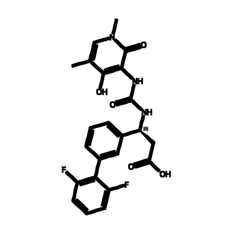 Cc1cn(C)c(=O)c(NC(=O)N[C@@H](CC(=O)O)c2cccc(-c3c(F)cccc3F)c2)c1O